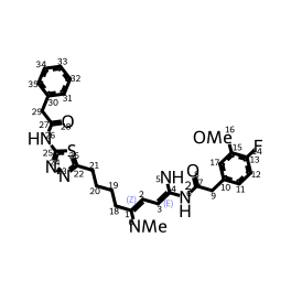 CN/C(=C\C=C(/N)NC(=O)Cc1ccc(F)c(OC)c1)CCCCc1nnc(NC(=O)Cc2ccccc2)s1